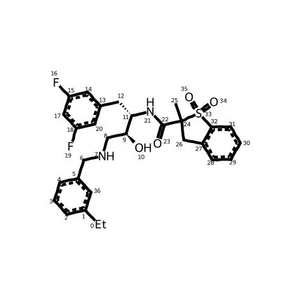 CCc1cccc(CNC[C@H](O)[C@H](Cc2cc(F)cc(F)c2)NC(=O)C2(C)Cc3ccccc3S2(=O)=O)c1